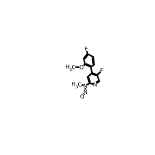 COc1cc(F)ccc1-c1cc(N(C)N=O)ncc1F